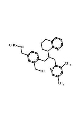 Cc1cnc(CN(Cc2ccc(CNC=O)cc2CO)[C@H]2CCCc3cccnc32)c(C)c1